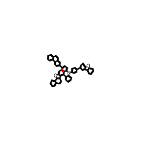 c1ccc(N(c2ccc(-c3ccc4c(ccc5ccccc54)c3)cc2)c2ccc(-c3ccc4oc5ccccc5c4c3)cc2)c(-c2cccc3oc4c5ccccc5ccc4c23)c1